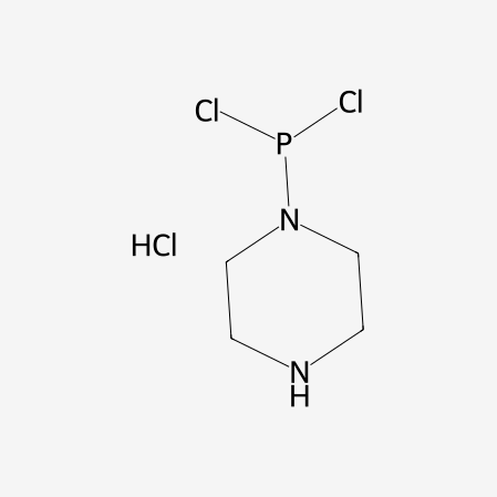 Cl.ClP(Cl)N1CCNCC1